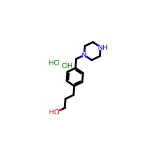 Cl.Cl.OCCCc1ccc(CN2CCNCC2)cc1